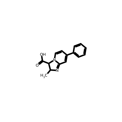 CC1N=C2C=C(c3ccccc3)C=CN2C1C(=O)O